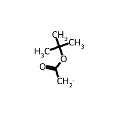 [CH2]C(=O)OC(C)(C)C